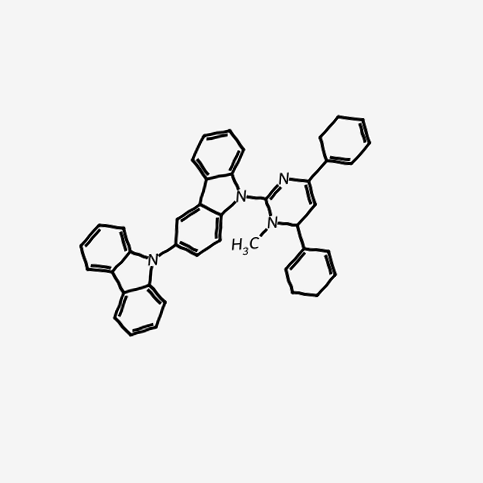 CN1C(n2c3ccccc3c3cc(-n4c5ccccc5c5ccccc54)ccc32)=NC(C2=CC=CCC2)=CC1C1=CCCC=C1